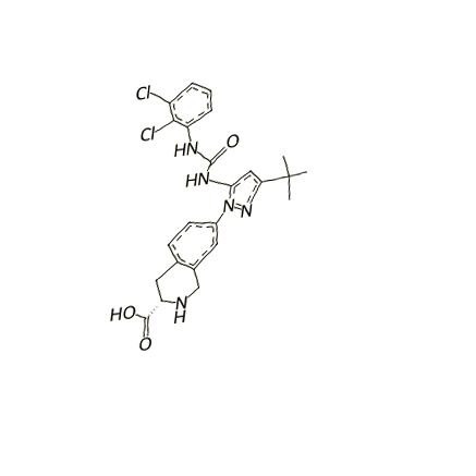 CC(C)(C)c1cc(NC(=O)Nc2cccc(Cl)c2Cl)n(-c2ccc3c(c2)CN[C@H](C(=O)O)C3)n1